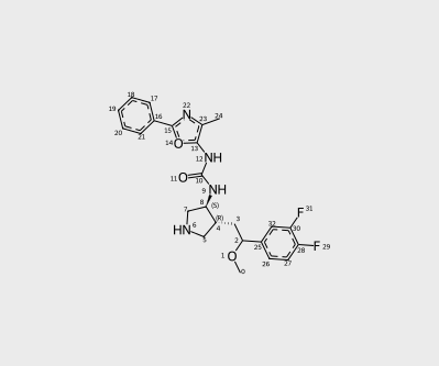 COC(C[C@@H]1CNC[C@H]1NC(=O)Nc1oc(-c2ccccc2)nc1C)c1ccc(F)c(F)c1